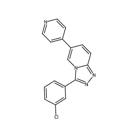 Clc1cccc(-c2nnc3ccc(-c4ccncc4)cn23)c1